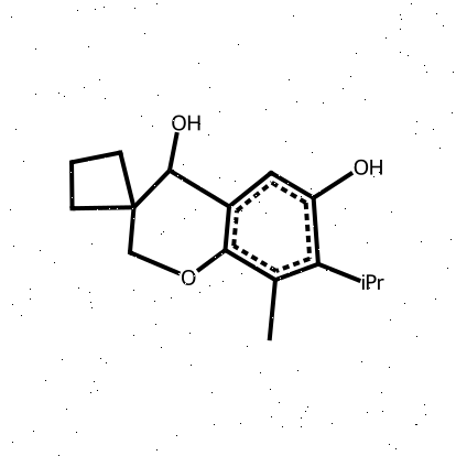 Cc1c2c(cc(O)c1C(C)C)C(O)C1(CCC1)CO2